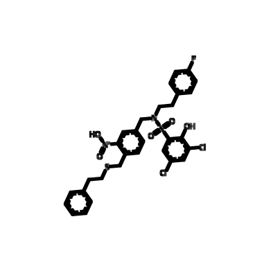 O=[N+](O)c1cc(CN(CCc2ccc(F)cc2)S(=O)(=O)c2cc(Cl)cc(Cl)c2O)ccc1CSCCc1ccccc1